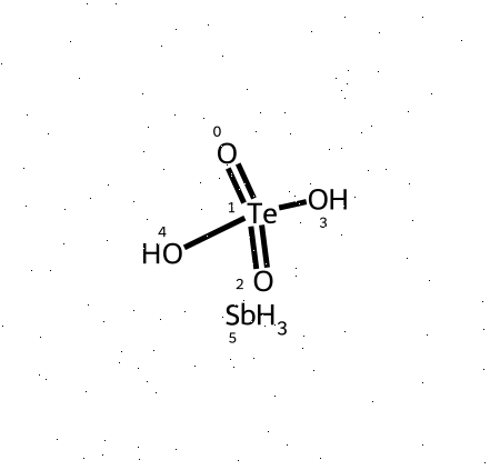 O=[Te](=O)(O)O.[SbH3]